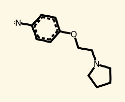 [N]c1ccc(OCCN2CCCC2)cc1